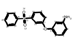 Nc1cccc(Oc2cccc(S(=O)(=O)c3ccccc3)c2)c1